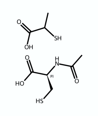 CC(=O)N[C@@H](CS)C(=O)O.CC(S)C(=O)O